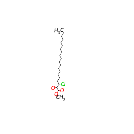 CCCCCCCCCCCCCCCCCC(Cl)C(=O)C(=O)OC